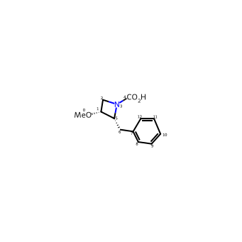 CO[C@@H]1CN(C(=O)O)[C@@H]1Cc1ccccc1